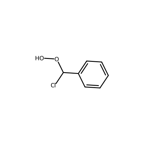 OOC(Cl)c1ccccc1